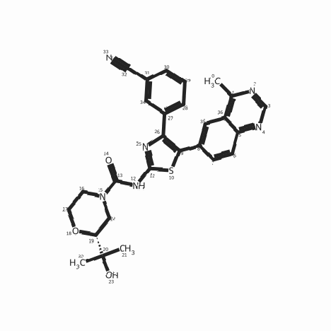 Cc1ncnc2ccc(-c3sc(NC(=O)N4CCO[C@@H](C(C)(C)O)C4)nc3-c3cccc(C#N)c3)cc12